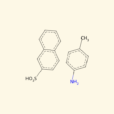 Cc1ccc(N)cc1.O=S(=O)(O)c1ccc2ccccc2c1